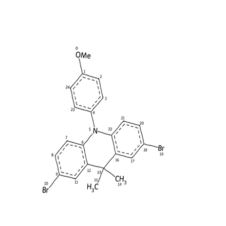 COc1ccc(N2c3ccc(Br)cc3C(C)(C)c3cc(Br)ccc32)cc1